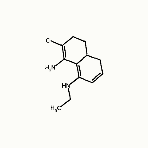 CCNC1=C2C(N)=C(Cl)CCC2CC=C1